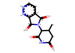 CC1CC(=O)NC(=O)C1N1C(=O)c2ccnnc2C1=O